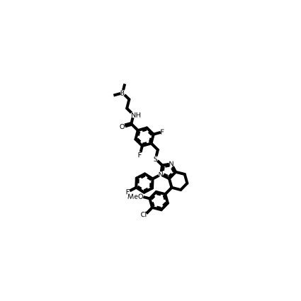 COc1cc(C2CCCc3nc(SCc4c(F)cc(C(=O)NCCB(C)C)cc4F)n(-c4ccc(F)cc4)c32)ccc1Cl